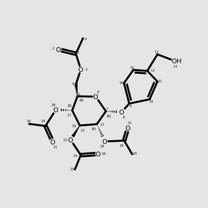 CC(=O)OC[C@H]1O[C@H](Oc2ccc(CO)cc2)[C@H](OC(C)=O)[C@@H](OC(C)=O)[C@@H]1OC(C)=O